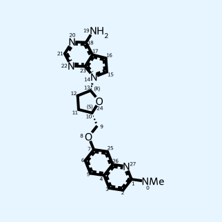 CNc1ccc2ccc(OC[C@@H]3CC[C@H](n4ccc5c(N)ncnc54)O3)cc2n1